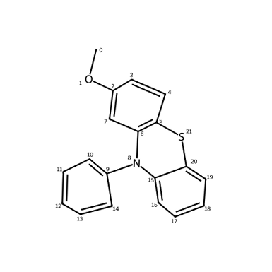 COc1ccc2c(c1)N(c1ccccc1)c1ccccc1S2